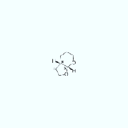 [C]1CO[C@H]2OCCC[C@@H]12